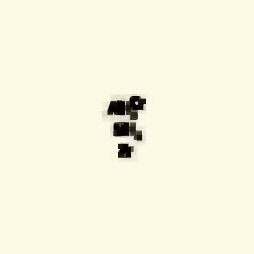 [AlH3].[Cr].[SiH4].[Zr]